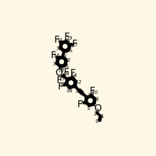 C=CCOc1cc(F)c(C#Cc2cc(F)c(C(F)(F)Oc3ccc(-c4cc(F)c(F)c(F)c4)c(F)c3)c(F)c2)c(F)c1